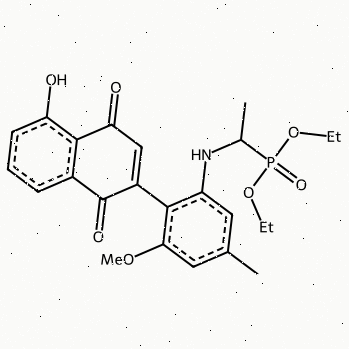 CCOP(=O)(OCC)C(C)Nc1cc(C)cc(OC)c1C1=CC(=O)c2c(O)cccc2C1=O